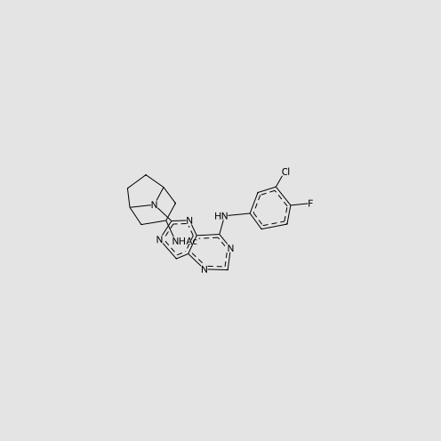 CC(=O)NC1CC2CCC(C1)N2c1ncc2ncnc(Nc3ccc(F)c(Cl)c3)c2n1